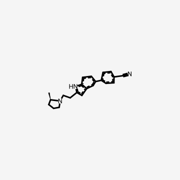 C[C@@H]1CCCN1CCc1cc2cc(-c3ccc(C#N)cc3)ccc2[nH]1